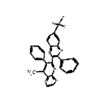 Cc1c(-c2ccccc2)c(-c2nc3ccc(C(F)(F)F)cc3nc2-c2ccccc2)nc2nccnc12